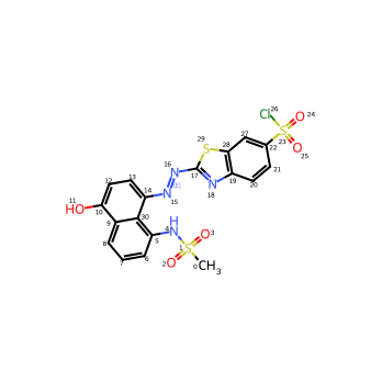 CS(=O)(=O)Nc1cccc2c(O)ccc(/N=N/c3nc4ccc(S(=O)(=O)Cl)cc4s3)c12